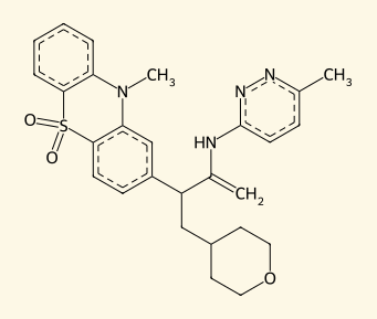 C=C(Nc1ccc(C)nn1)C(CC1CCOCC1)c1ccc2c(c1)N(C)c1ccccc1S2(=O)=O